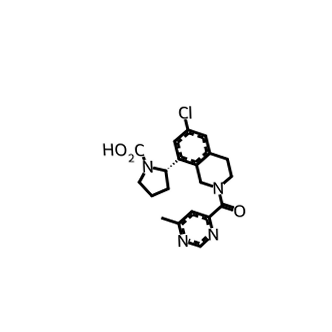 Cc1cc(C(=O)N2CCc3cc(Cl)cc([C@@H]4CCCN4C(=O)O)c3C2)ncn1